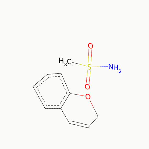 C1=Cc2ccccc2OC1.CS(N)(=O)=O